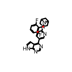 Fc1cccc(F)c1CN1C2CC1CN(c1ccc(-c3ncnc4[nH]ccc34)cn1)C2